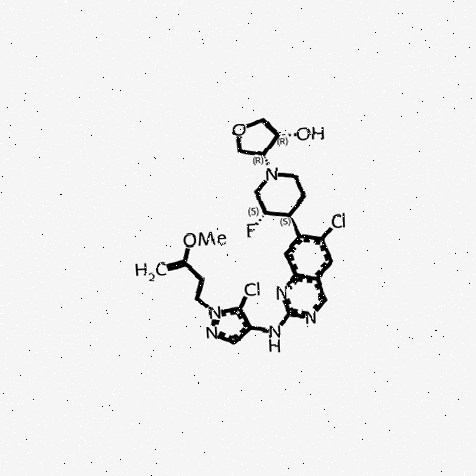 C=C(CCn1ncc(Nc2ncc3cc(Cl)c([C@@H]4CCN([C@@H]5COC[C@@H]5O)C[C@H]4F)cc3n2)c1Cl)OC